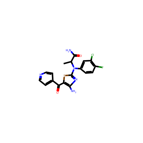 CC(C(N)=O)N(c1ccc(F)c(Cl)c1)c1nc(N)c(C(=O)c2ccncc2)s1